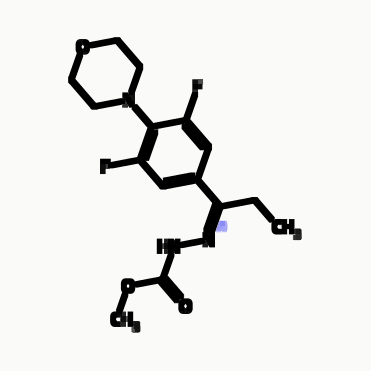 CC/C(=N/NC(=O)OC)c1cc(F)c(N2CCOCC2)c(F)c1